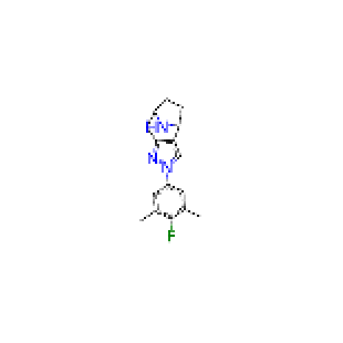 Cc1cc(-n2cc3c(n2)CC2CCC3N2)cc(C)c1F